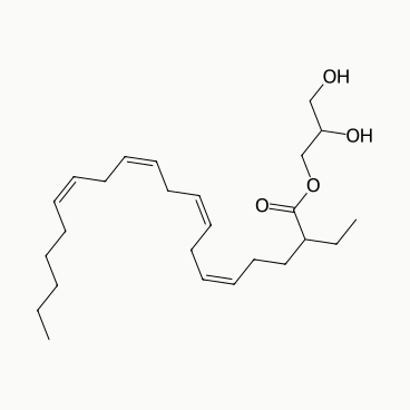 CCCCC/C=C\C/C=C\C/C=C\C/C=C\CCC(CC)C(=O)OCC(O)CO